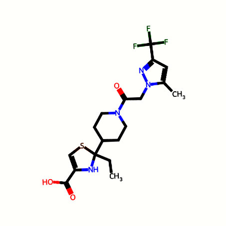 CCC1(C2CCN(C(=O)Cn3nc(C(F)(F)F)cc3C)CC2)NC(C(=O)O)=CS1